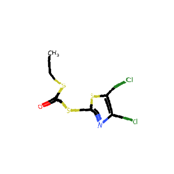 CCSC(=O)Sc1nc(Cl)c(Cl)s1